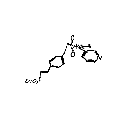 CCOC(=O)C=Cc1ccc(CS(=O)(=O)Nc2cccnc2)cc1